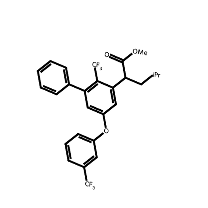 COC(=O)C(CC(C)C)c1cc(Oc2cccc(C(F)(F)F)c2)cc(-c2ccccc2)c1C(F)(F)F